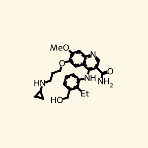 CCc1c(CO)cccc1Nc1c(C(N)=O)cnc2cc(OC)c(OCCCNC3CC3)cc12